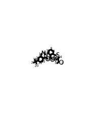 CC(=O)c1csc(-c2cccc(-n3ncc4cc(C(C)(C)C)ccc4c3=O)c2CO)n1